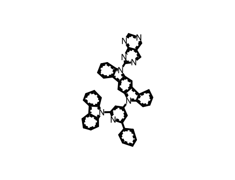 c1ccc(-c2cc(-n3c4ccccc4c4cc5c(cc43)c3ccccc3n5-c3ncc4cncnc4n3)cc(-n3c4ccccc4c4ccccc43)n2)cc1